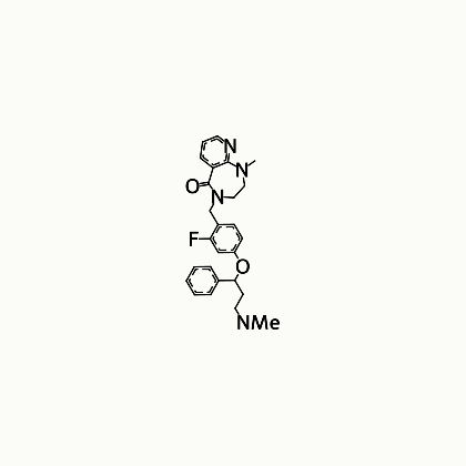 CNCCC(Oc1ccc(CN2CCN(C)c3ncccc3C2=O)c(F)c1)c1ccccc1